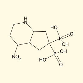 O=[N+]([O-])C1CCNC2CC(P(=O)(O)O)(P(=O)(O)O)CC21